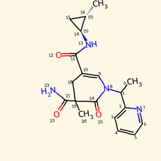 CC(c1ccccn1)N1C=C(C(=O)N[C@H]2C[C@@H]2C)CC(C)(C(N)=O)C1=O